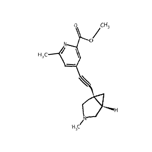 COC(=O)c1cc(C#C[C@@]23C[C@@H]2CN(C)C3)cc(C)n1